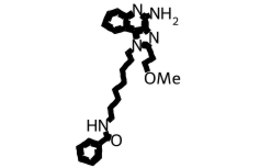 COCCc1nc2c(N)nc3ccccc3c2n1CCCCCCCCNC(=O)c1ccccc1